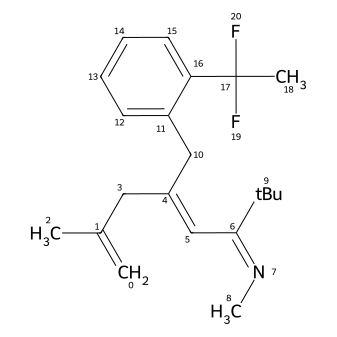 C=C(C)C/C(=C/C(=N\C)C(C)(C)C)Cc1ccccc1C(C)(F)F